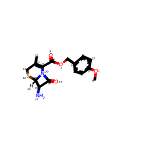 COc1ccc(COC(=O)C2=C(C)CS[C@H]3C(N)C(=O)N23)cc1